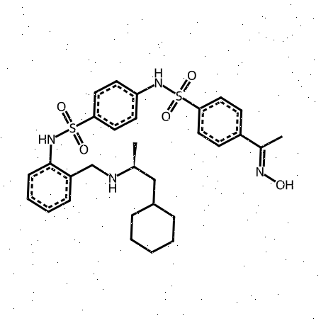 C/C(=N\O)c1ccc(S(=O)(=O)Nc2ccc(S(=O)(=O)Nc3ccccc3CN[C@@H](C)CC3CCCCC3)cc2)cc1